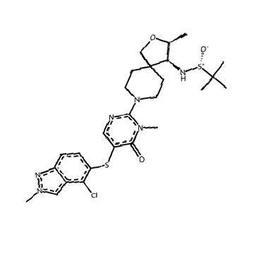 C[C@@H]1OCC2(CCN(c3ncc(Sc4ccc5nn(C)cc5c4Cl)c(=O)n3C)CC2)[C@@H]1N[S@+]([O-])C(C)(C)C